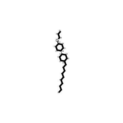 CCCCCCCCCCC1CCC([C@H]2CC[C@H](OCCC)CC2)CC1